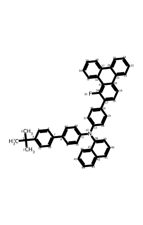 CC(C)(C)c1ccc(-c2ccc(N(c3ccc(-c4ccc5c6ccccc6c6ccccc6c5c4F)cc3)c3cccc4ccccc34)cc2)cc1